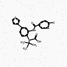 CC(C)(C)N(C(=O)O)c1ccc(-c2ccsc2)cc1NC(=O)c1ccc(Cl)nc1